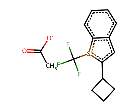 CC(=O)[O-].FC(F)(F)[s+]1c(C2CCC2)cc2ccccc21